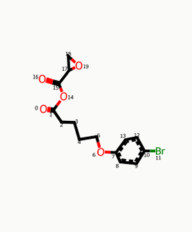 O=C(CCCCOc1ccc(Br)cc1)OC(=O)C1CO1